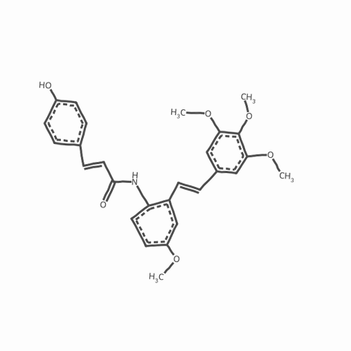 COc1ccc(NC(=O)/C=C/c2ccc(O)cc2)c(/C=C/c2cc(OC)c(OC)c(OC)c2)c1